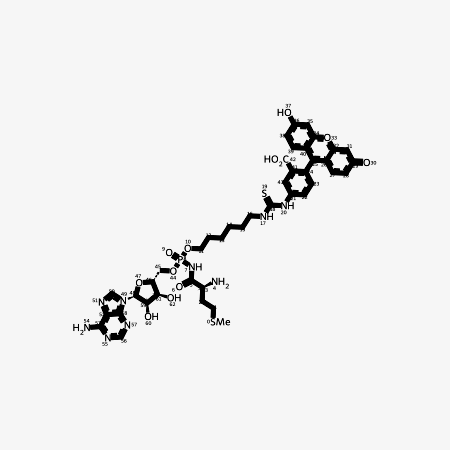 CSCC[C@H](N)C(=O)NP(=O)(OCCCCCCNC(=S)Nc1ccc(-c2c3ccc(=O)cc-3oc3cc(O)ccc23)c(C(=O)O)c1)OC[C@H]1O[C@@H](n2cnc3c(N)ncnc32)[C@H](O)[C@@H]1O